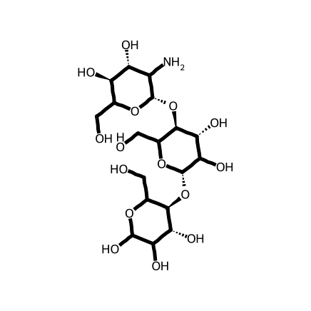 NC1[C@H](O[C@@H]2C(CO)O[C@@H](O[C@@H]3C(CO)OC(O)C(O)[C@H]3O)C(O)[C@H]2O)OC(CO)[C@@H](O)[C@@H]1O